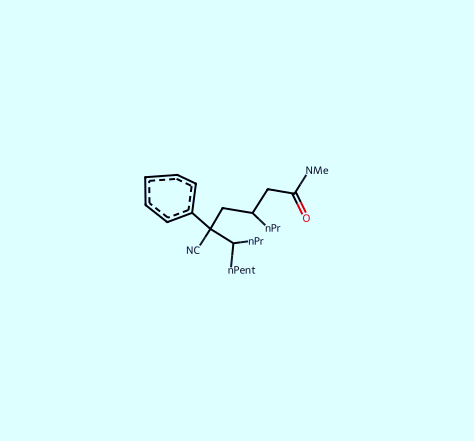 CCCCCC(CCC)C(C#N)(CC(CCC)CC(=O)NC)c1ccccc1